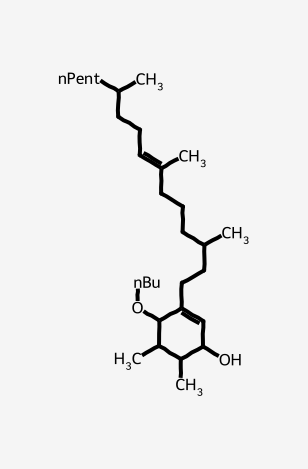 CCCCCC(C)CC/C=C(\C)CCCC(C)CCC1=CC(O)C(C)C(C)C1OCCCC